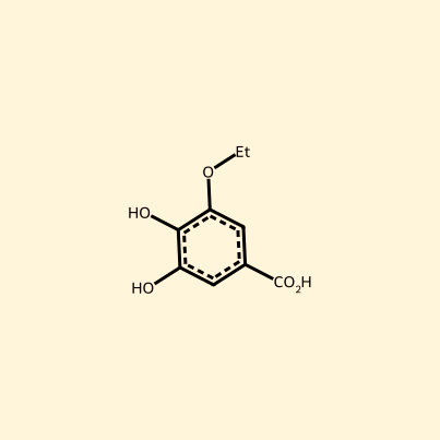 CCOc1cc(C(=O)O)cc(O)c1O